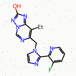 CCc1c(Cn2ccnc2-c2ncccc2F)ncn2nc(O)nc12